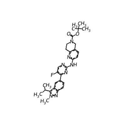 CC(C)c1c2cc(-c3nc(Nc4ccc5c(n4)CCN(C(=O)OC(C)(C)C)C5)ncc3F)ccc2nn1C